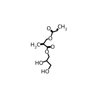 C=CC(=O)OCC(=C)C(=O)OCC(O)CO